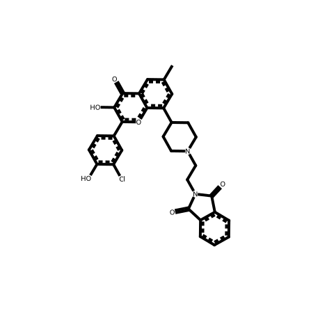 Cc1cc(C2CCN(CCN3C(=O)c4ccccc4C3=O)CC2)c2oc(-c3ccc(O)c(Cl)c3)c(O)c(=O)c2c1